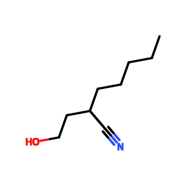 CCCCCC(C#N)CCO